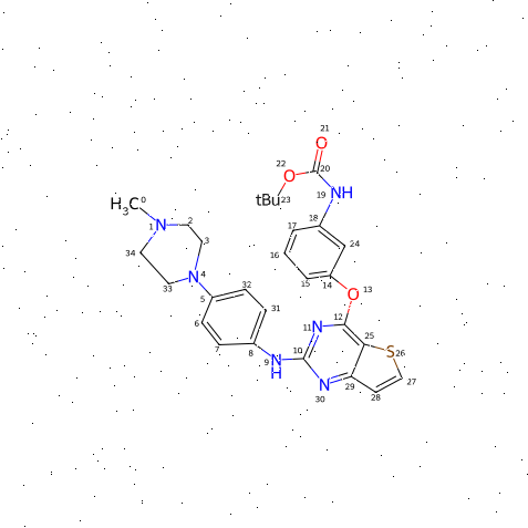 CN1CCN(c2ccc(Nc3nc(Oc4cccc(NC(=O)OC(C)(C)C)c4)c4sccc4n3)cc2)CC1